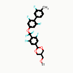 CCOCC1COC(c2cc(F)c(C(F)(F)Oc3cc(F)c(-c4ccc(C)c(F)c4)c(F)c3)c(F)c2)OC1